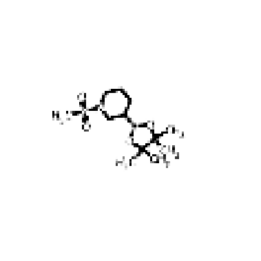 CC1(C)OB(C2CCCN(S(C)(=O)=O)C2)OC1(C)C